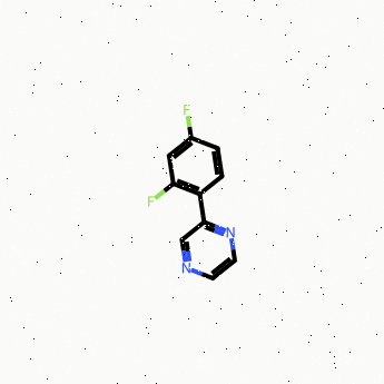 Fc1ccc(-c2cnccn2)c(F)c1